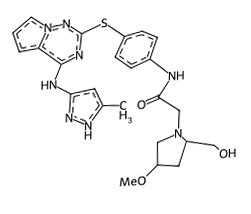 COC1CC(CO)N(CC(=O)Nc2ccc(Sc3nc(Nc4cc(C)[nH]n4)c4cccn4n3)cc2)C1